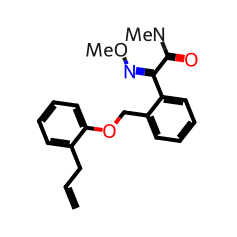 C=CCc1ccccc1OCc1ccccc1C(=NOC)C(=O)NC